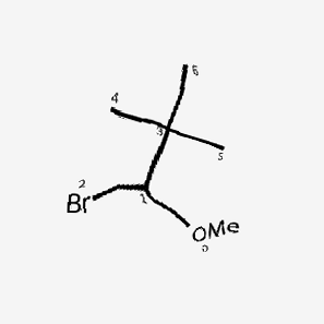 COC(Br)C(C)(C)C